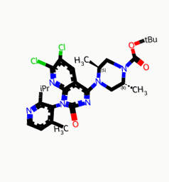 Cc1ccnc(C(C)C)c1-n1c(=O)nc(N2C[C@@H](C)N(C(=O)OC(C)(C)C)C[C@@H]2C)c2cc(Cl)c(Cl)nc21